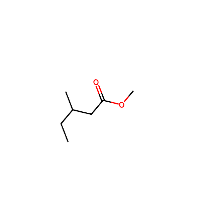 CCC(C)CC(=O)OC